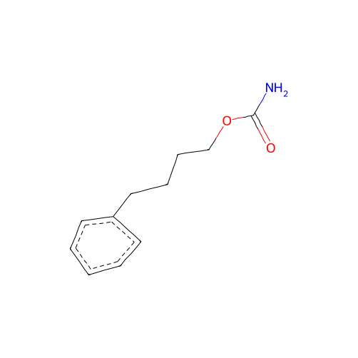 NC(=O)OCCCCc1ccccc1